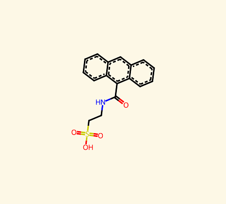 O=C(NCCS(=O)(=O)O)c1c2ccccc2cc2ccccc12